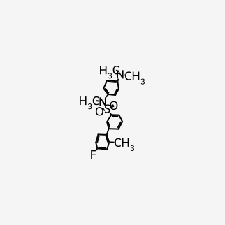 Cc1cc(F)ccc1-c1cccc(S(=O)(=O)N(C)c2ccc(N(C)C)cc2)c1